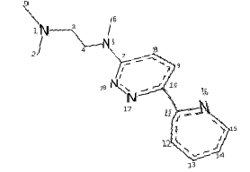 CN(C)CCN(C)c1ccc(-c2ccccn2)nn1